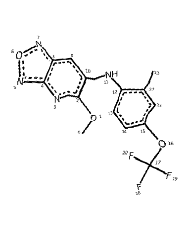 COc1nc2nonc2cc1Nc1ccc(OC(F)(F)F)cc1C